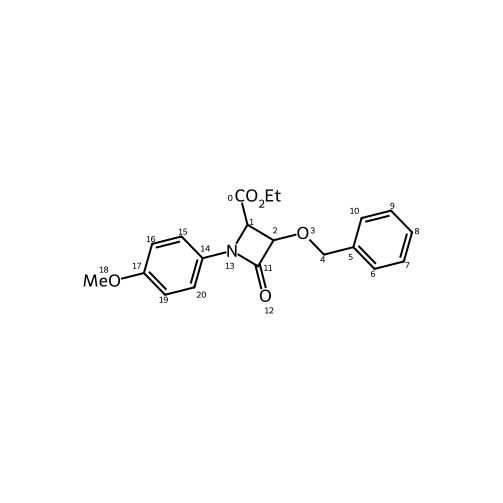 CCOC(=O)C1C(OCc2ccccc2)C(=O)N1c1ccc(OC)cc1